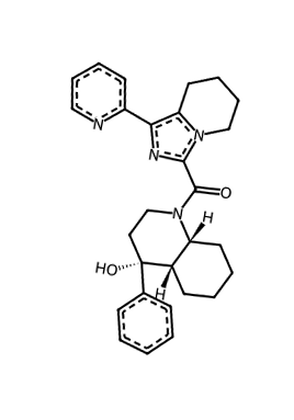 O=C(c1nc(-c2ccccn2)c2n1CCCC2)N1CC[C@](O)(c2ccccc2)[C@H]2CCCC[C@H]21